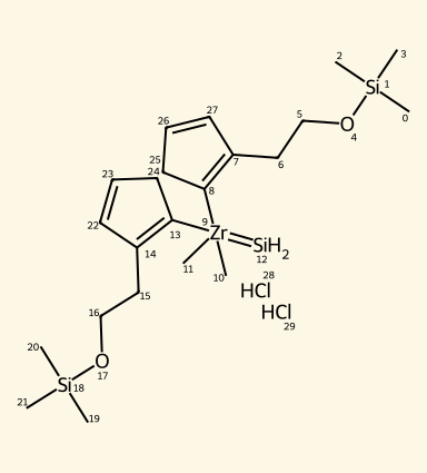 C[Si](C)(C)OCCC1=[C]([Zr]([CH3])([CH3])(=[SiH2])[C]2=C(CCO[Si](C)(C)C)C=CC2)CC=C1.Cl.Cl